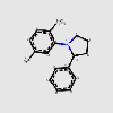 CC(C)c1ccc([N+](=O)[O-])c(N2CCCC2c2ccccc2)c1